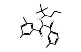 CCC[C@@H](NN(C(=O)c1cccc(C)c1)C(=O)c1cc(C)cc(C)c1)C(C)(C)C